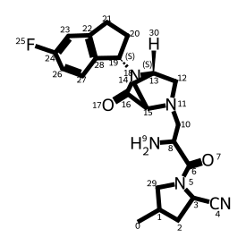 CC1CC(C#N)N(C(=O)C(N)CN2C[C@@H]3CC2C(=O)N3[C@H]2CCc3cc(F)ccc32)C1